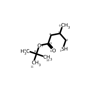 CC(CS)CC(=O)OC(C)(C)C